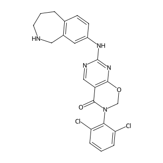 O=C1c2cnc(Nc3ccc4c(c3)CNCCC4)nc2OCN1c1c(Cl)cccc1Cl